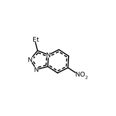 CCc1nnc2cc([N+](=O)[O-])ccn12